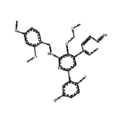 C/C=C(\C=C/C=N)c1cc(-c2cc(Cl)ccc2F)nc(NCc2ccc(OC)cc2OC)c1OCOC